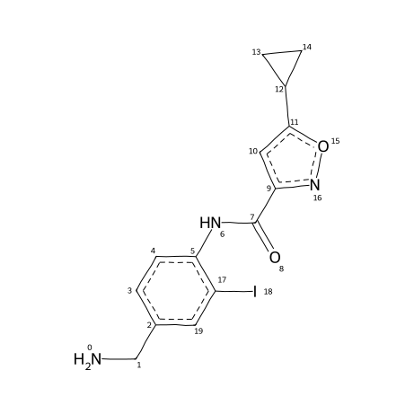 NCc1ccc(NC(=O)c2cc(C3CC3)on2)c(I)c1